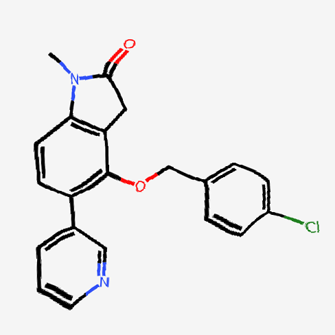 CN1C(=O)Cc2c1ccc(-c1cccnc1)c2OCc1ccc(Cl)cc1